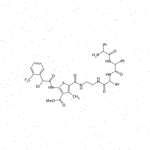 CCC(C(=O)Nc1sc(C(=O)NCCNC(=O)C(NC(=O)C(NC(=O)C(N)C(C)C)C(C)C)C(C)C)c(C)c1C(=O)OC)c1ccccc1C(F)(F)F